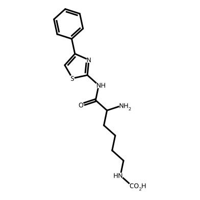 NC(CCCCNC(=O)O)C(=O)Nc1nc(-c2ccccc2)cs1